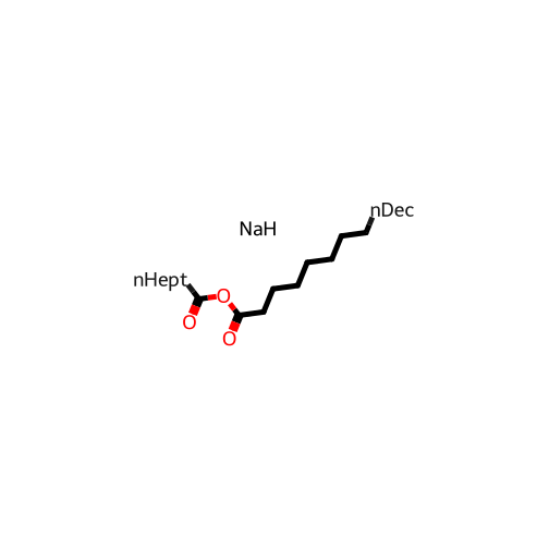 CCCCCCCCCCCCCCCCCC(=O)OC(=O)CCCCCCC.[NaH]